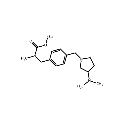 CN(Cc1ccc(CN2CCC(N(C)C)C2)cc1)C(=O)OC(C)(C)C